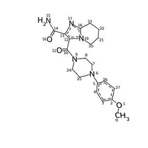 COc1ccc(N2CCN(C(=O)c3c(C(N)=O)nc4n3CCCC4)CC2)cc1